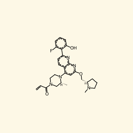 C=CC(=O)N1CCN(c2cc(OC[C@@H]3CCCN3C)nc3nc(-c4c(O)cccc4F)ccc23)[C@H](C)C1